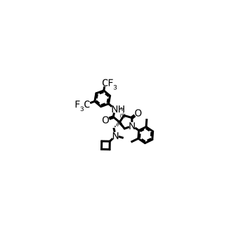 Cc1cccc(C)c1N1C[C@@](CN(C)C2CCC2)(C(=O)Nc2cc(C(F)(F)F)cc(C(F)(F)F)c2)[C@H](C)C1=O